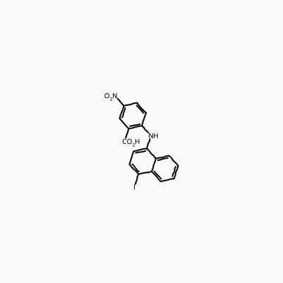 O=C(O)c1cc([N+](=O)[O-])ccc1Nc1ccc(I)c2ccccc12